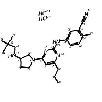 CCCc1cc(N2CCC(NCC(C)(C)C)C2)nc(Nc2ccc(C)c(C#N)c2)n1.Cl.Cl